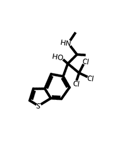 CNC(C)C(O)(c1ccc2sccc2c1)C(Cl)(Cl)Cl